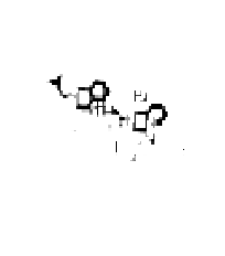 CN(C)CCN(Cc1ncccc1Br)C(=O)CNc1cccc2c1C(C)(C)CN(CC1CC1)C2